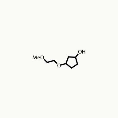 COCCOC1CCC(O)C1